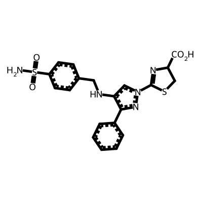 NS(=O)(=O)c1ccc(CNc2cn(C3=NC(C(=O)O)CS3)nc2-c2ccccc2)cc1